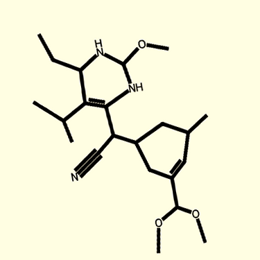 CCC1NC(OC)NC(C(C#N)C2CC(C(OC)OC)=CC(C)C2)=C1C(C)C